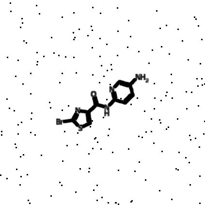 Nc1ccc(NC(=O)c2csc(Br)n2)nc1